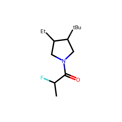 CCC1CN(C(=O)C(C)F)CC1C(C)(C)C